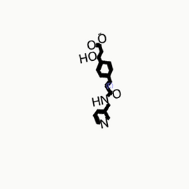 COC(=O)CC(O)c1ccc(/C=C/C(=O)NCc2cccnc2)cc1